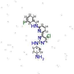 N[C@H]1CC[C@H](Nc2ncc(Cl)c(-c3cccc(NCc4cccc(F)c4)n3)n2)CC1